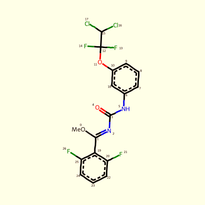 COC(=NC(=O)Nc1cccc(OC(F)(F)C(Cl)Cl)c1)c1c(F)cccc1F